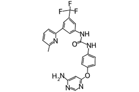 Cc1cccc(-c2cc(NC(=O)Nc3ccc(Oc4cc(N)ncn4)cc3)cc(C(F)(F)F)c2)n1